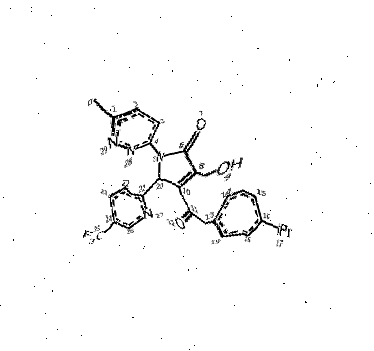 Cc1ccc(N2C(=O)C(O)=C(C(=O)c3ccc(C(C)C)cc3)C2c2ccc(C(F)(F)F)cn2)nn1